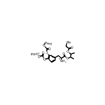 CCCC(C)OC(=O)Oc1cc(C[C@H](N)C(=O)OC(C)C(C)OC(=O)CC(C)(C)C)ccc1OC(=O)O[C@@H](C)CCC